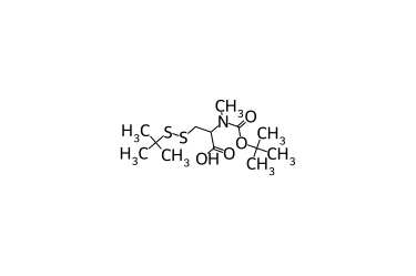 CN(C(=O)OC(C)(C)C)C(CSSC(C)(C)C)C(=O)O